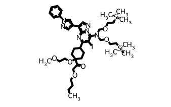 CCCCOCC(=O)C1(OCCOC)CCC(c2nc3c(-c4cnn(-c5ccccc5)c4)cnn3c(N(COCC[Si](C)(C)C)COCC[Si](C)(C)C)c2I)CC1